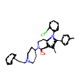 Cc1ccc(-c2c(C)c3c(n2-c2ccccc2Cl)CCN(C2CCN(Cc4ccccc4)CC2)C3=O)cc1